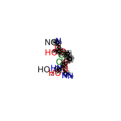 C/N=C/c1cncc(COc2cc(OCc3cccc(-c4cccc(COc5cc(OCc6cncc(C#N)c6)c(CO)cc5Cl)c4C)c3C)c(Cl)cc2CNC(CO)C(=O)O)c1